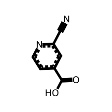 N#Cc1cc(C(=O)O)ccn1